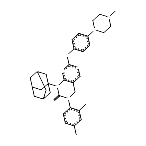 Cc1ccc(N2Cc3cnc(Nc4ccc(N5CCN(C)CC5)cc4)nc3N(C34CC5CC(CC(C5)C3)C4)C2=O)c(C)c1